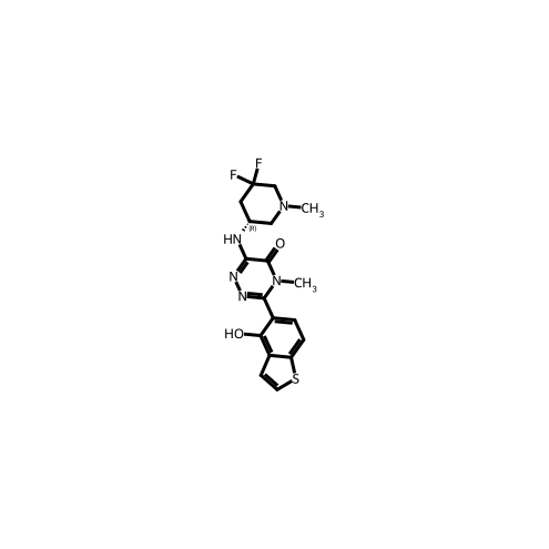 CN1C[C@H](Nc2nnc(-c3ccc4sccc4c3O)n(C)c2=O)CC(F)(F)C1